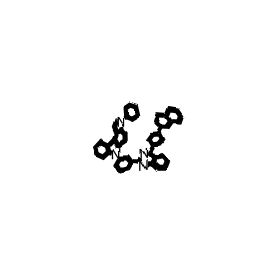 c1ccc(-n2ccc3c4c5ccccc5n(-c5cccc(-c6nc(-c7ccc(-c8ccc9ccccc9c8)cc7)c7ccccc7n6)c5)c4ccc32)cc1